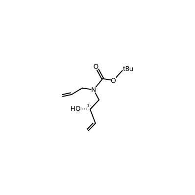 C=CCN(C[C@@H](O)C=C)C(=O)OC(C)(C)C